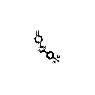 CS(=O)(=O)c1ccc(-c2csc(N3CCNCC3)n2)cc1